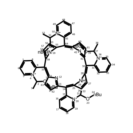 CCCCOC(C)[n+]1ccccc1-c1c2nc(c(-c3cccc[n+]3C(C)OCCCC)c3ccc([nH]3)c(-c3cccc[n+]3C(C)OCCCC)c3nc(c(-c4cccc[n+]4C(C)OCCCC)c4ccc1[nH]4)C=C3)C=C2